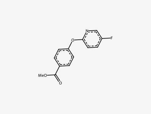 COC(=O)c1ccc(Oc2ccc(F)cn2)cc1